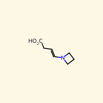 O=C(O)CC=CN1CCC1